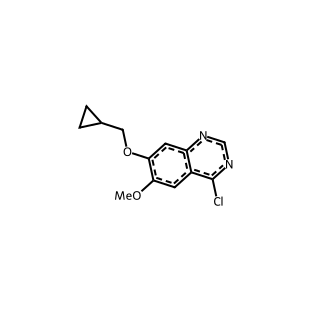 COc1cc2c(Cl)ncnc2cc1OCC1CC1